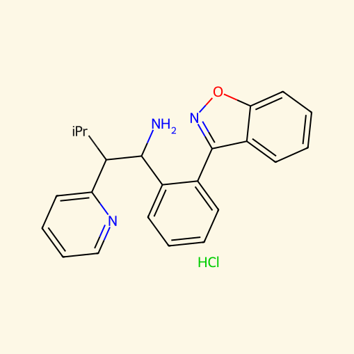 CC(C)C(c1ccccn1)C(N)c1ccccc1-c1noc2ccccc12.Cl